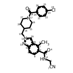 Cc1c(C(=O)NCC#N)ccc2nn(CC3CCN(C(=O)c4ccc(Cl)cc4)CC3)cc12